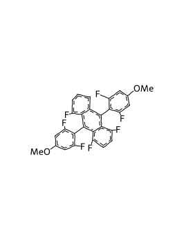 COc1cc(F)c(-c2c3cccc(F)c3c(-c3c(F)cc(OC)cc3F)c3c(F)ccc(F)c23)c(F)c1